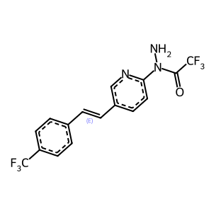 NN(C(=O)C(F)(F)F)c1ccc(/C=C/c2ccc(C(F)(F)F)cc2)cn1